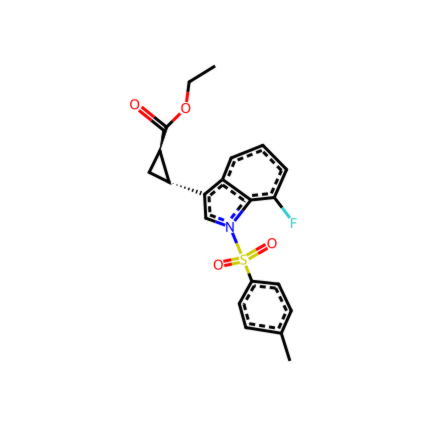 CCOC(=O)[C@@H]1C[C@H]1c1cn(S(=O)(=O)c2ccc(C)cc2)c2c(F)cccc12